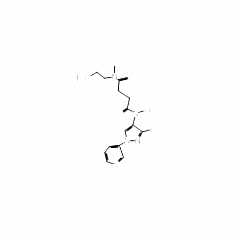 CCN(C(=O)CCC(=O)N(C)CCC(F)(F)F)c1cn(-c2cccnc2)nc1Cl